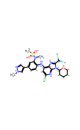 CN(c1cc(-c2cnn(C)c2)ccc1Nc1cc(Cl)nc2c1nc(C(F)F)n2C1CCCCO1)S(C)(=O)=O